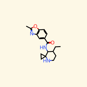 CCC1CCNC2(CC2)C1NC(=O)c1ccc2oc(C)nc2c1